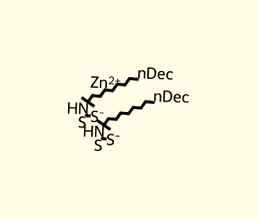 CCCCCCCCCCCCCCCCCCC(C)(C)NC(=S)[S-].CCCCCCCCCCCCCCCCCCC(C)(C)NC(=S)[S-].[Zn+2]